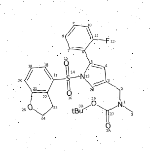 CN(Cc1cc(-c2ccccc2F)n(S(=O)(=O)c2cccc3c2CCO3)c1)C(=O)OC(C)(C)C